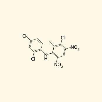 Cc1c(Cl)c([N+](=O)[O-])cc([N+](=O)[O-])c1Nc1ccc(Cl)cc1Cl